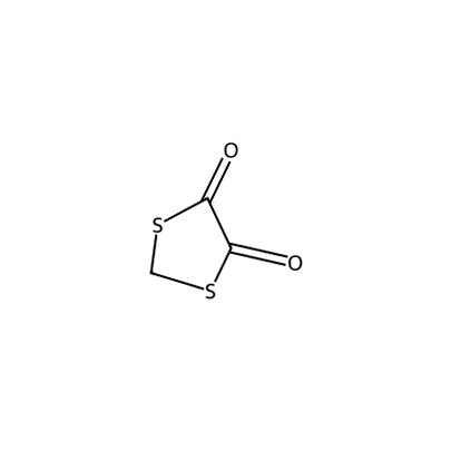 O=C1SCSC1=O